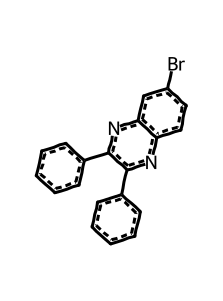 Brc1ccc2nc(-c3ccccc3)c(-c3ccccc3)nc2c1